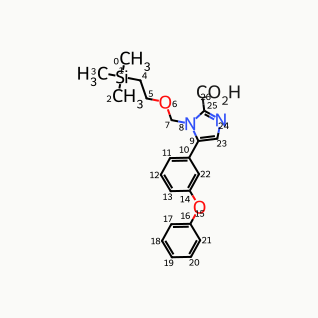 C[Si](C)(C)CCOCn1c(-c2cccc(Oc3ccccc3)c2)cnc1C(=O)O